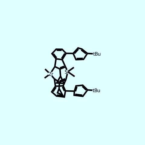 CC(C)(C)c1ccc(-c2cccc3c2C2=C(C4CC4)[CH]3[Zr]([CH3])([CH3])[CH]3C(C4CC4)=C(c4c(-c5ccc(C(C)(C)C)cc5)cccc43)[Si]2(C)C)cc1